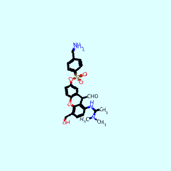 CC(Nc1ccc(CO)c2c1C(C=O)c1cc(OS(=O)(=O)c3ccc(CN)cc3)ccc1O2)N(C)C